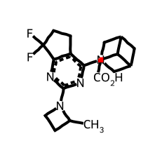 CC1CCN1c1nc(N2CC3CC(C2)C3CC(=O)O)c2c(n1)C(F)(F)CC2